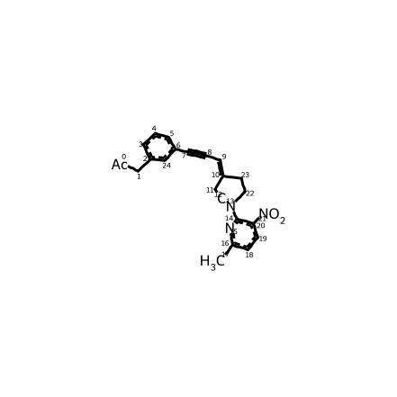 CC(=O)Cc1cccc(C#CC=C2CCN(c3nc(C)ccc3[N+](=O)[O-])CC2)c1